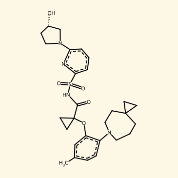 Cc1ccc(N2CCCC3(CC2)CC3)c(OC2(C(=O)NS(=O)(=O)c3cccc(N4CC[C@H](O)C4)n3)CC2)c1